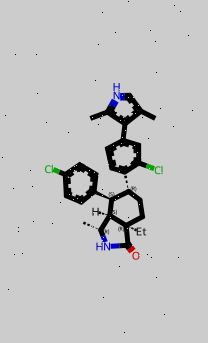 CC[C@@]12CC[C@@H](c3ccc(-c4c(C)c[nH]c4C)cc3Cl)[C@H](c3ccc(Cl)cc3)[C@@H]1[C@@H](C)NC2=O